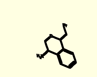 CC(C)CC1OCC(N)c2ccccc21